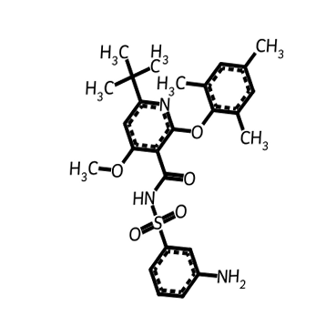 COc1cc(C(C)(C)C)nc(Oc2c(C)cc(C)cc2C)c1C(=O)NS(=O)(=O)c1cccc(N)c1